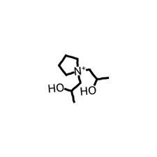 CC(O)C[N+]1(CC(C)O)CCCC1